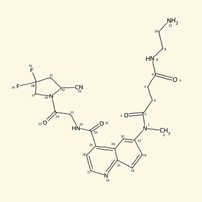 CN(C(=O)CCC(=O)NCCN)c1ccc2nccc(C(=O)NCC(=O)N3CC(F)(F)CC3C#N)c2c1